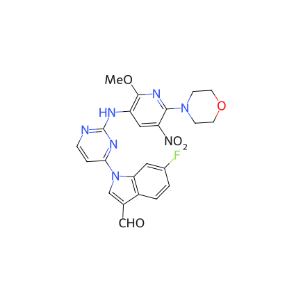 COc1nc(N2CCOCC2)c([N+](=O)[O-])cc1Nc1nccc(-n2cc(C=O)c3ccc(F)cc32)n1